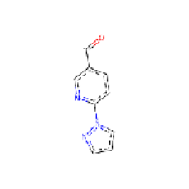 O=[C]c1ccc(-n2cccn2)nc1